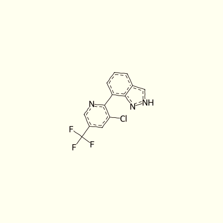 FC(F)(F)c1cnc(-c2cccc3c[nH]nc23)c(Cl)c1